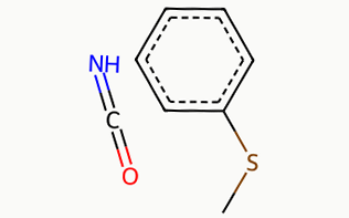 CSc1ccccc1.N=C=O